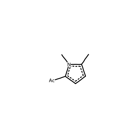 CC(=O)c1ccc(C)n1C